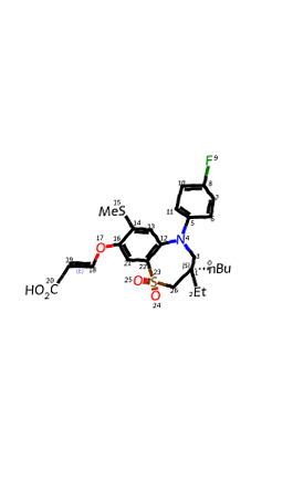 CCCC[C@@]1(CC)CN(c2ccc(F)cc2)c2cc(SC)c(O/C=C/C(=O)O)cc2S(=O)(=O)C1